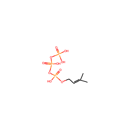 CC(C)=CCOP(=O)(O)OP(=O)(O)OP(=O)(O)O